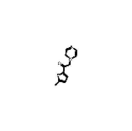 Cc1ccc(C(=O)CN2C=CN=CC2)s1